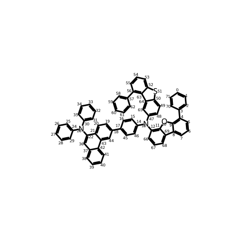 c1ccc(-c2cccc3c2oc2c(N(c4ccc(-c5ccc6c(N(c7ccccc7)c7ccccc7)cc7ccccc7c6c5)cc4)c4ccc5sc6cccc(-c7ccccc7)c6c5c4)cccc23)cc1